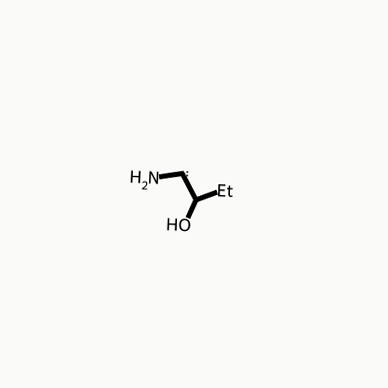 CCC(O)[C]N